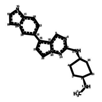 CN[C@H]1CC[C@@H](Nc2ncc3c(-c4ccc5nccn5c4)ccn3n2)CC1